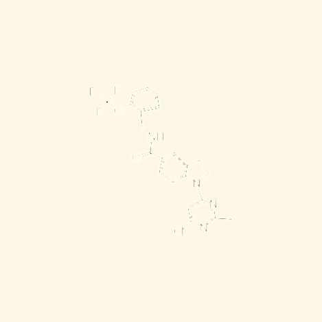 Cc1nc(Cl)cc(N2CCc3cc(C(=O)NCc4ccccc4OC(F)(F)F)ccc32)n1